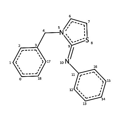 c1ccc(Cn2ccsc2=Nc2ccccc2)cc1